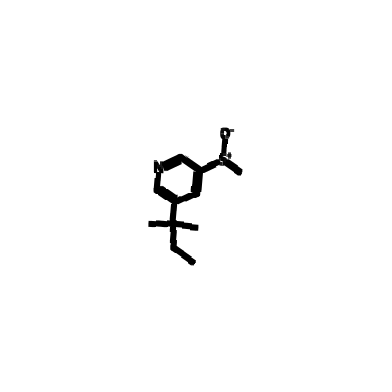 CCC(C)(C)c1cncc([S+](C)[O-])c1